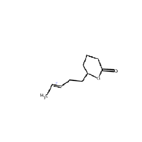 C/C=C/CCC1CCCC(=O)O1